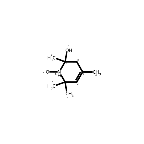 CC1=CC(C)(C)[NH+]([O-])C(C)(O)C1